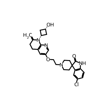 C=C1CCc2cc(OCCN3CCC4(CC3)C(=O)Nc3ccc(Cl)cc34)cnc2N1[C@H]1C[C@@H](O)C1